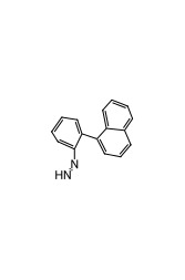 N=Nc1ccccc1-c1cccc2ccccc12